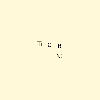 [B].[C].[N].[Ti]